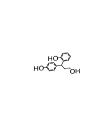 OCCC(c1ccc(O)cc1)c1ccccc1O